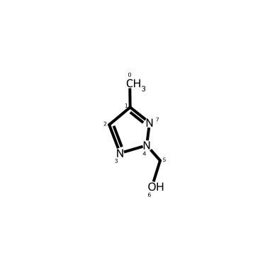 Cc1cnn(CO)n1